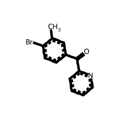 Cc1cc(C(=O)c2ccccn2)ccc1Br